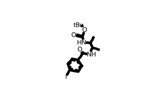 CC(NC(=O)OC(C)(C)C)C(C)NC(=O)c1ccc(I)cc1